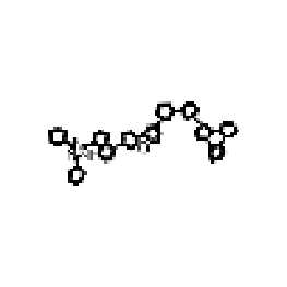 C1=CC2c3ccccc3-c3ccc(-c4cccc(-c5cccc(-c6ccc7oc8cc(-c9cccc%10c(C%11=NC(c%12ccccc%12)=NC(c%12ccccc%12)N%11)cccc9%10)ccc8c7c6)c5)c4)cc3C2C=C1